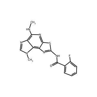 CNc1nc2sc(NC(=O)c3ccccc3F)nc2c2c1ncn2C